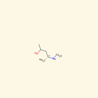 CC(O)C[C@H](NC(=O)O)C(=O)O